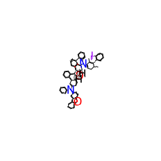 CC1=C(c2ccccc2I)C(C)CC=C1N(C1=CC=C2C3=c4ccccc4=C4C=C(N(c5ccccc5)c5ccc6oc7ccccc7c6c5)C=CC4[C@H]3O[C@H]2C1)c1ccccc1-c1ccccc1